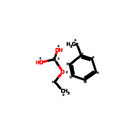 CCOB(O)O.[GeH3][c]1ccccc1